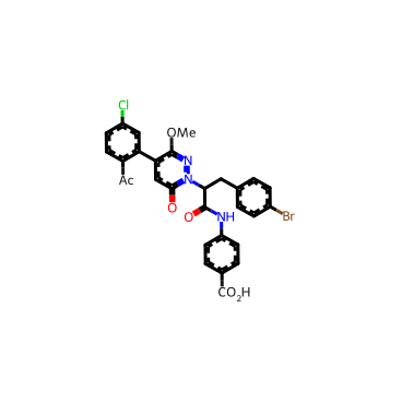 COc1nn(C(Cc2ccc(Br)cc2)C(=O)Nc2ccc(C(=O)O)cc2)c(=O)cc1-c1cc(Cl)ccc1C(C)=O